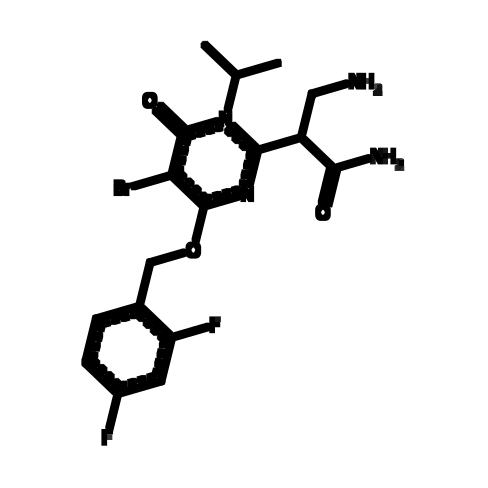 CC(C)n1c(C(CN)C(N)=O)nc(OCc2ccc(F)cc2F)c(Br)c1=O